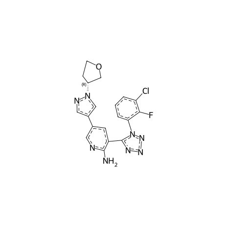 Nc1ncc(-c2cnn([C@@H]3CCOC3)c2)cc1-c1nnnn1-c1cccc(Cl)c1F